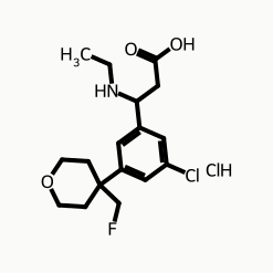 CCNC(CC(=O)O)c1cc(Cl)cc(C2(CF)CCOCC2)c1.Cl